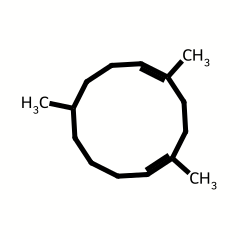 C/C1=C/CCCC(C)CC/C=C(/C)CC1